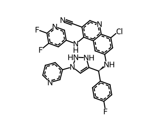 N#Cc1cnc2c(Cl)cc(N[C@H](C3=CN(c4cccnc4)NN3)c3ccc(F)cc3)cc2c1Nc1cnc(F)c(F)c1